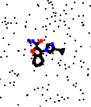 NC(=O)c1oc2ccccc2c1-n1cnc(C2CC2)c1